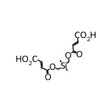 C[Si](C)(COC(=O)/C=C/C(=O)O)COC(=O)/C=C/C(=O)O